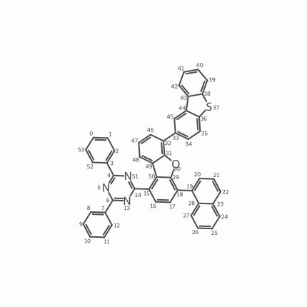 c1ccc(-c2nc(-c3ccccc3)nc(-c3ccc(-c4cccc5ccccc45)c4oc5c(-c6ccc7sc8ccccc8c7c6)cccc5c34)n2)cc1